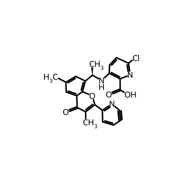 Cc1cc([C@@H](C)Nc2ccc(Cl)nc2C(=O)O)c2oc(-c3ccc#cn3)c(C)c(=O)c2c1